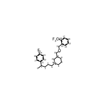 CC(CCCN1CCCC(COCc2ccccc2C(F)(F)F)C1)c1ccc(F)cc1